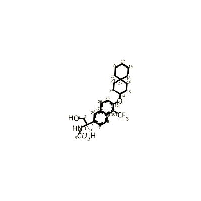 C[C@@](CO)(NC(=O)O)c1ccc2c(C(F)(F)F)c(OC3CCC4(CCCCC4)CC3)ccc2c1